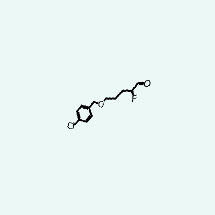 O=CC(F)CCCOCc1ccc(Cl)cc1